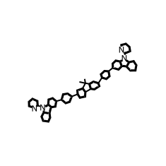 CC1(C)c2cc(-c3ccc(-c4ccc5c(c4)c4ccccc4n5-c4ccccn4)cc3)ccc2-c2ccc(-c3ccc(-c4ccc5c(c4)c4ccccc4n5-c4ccccn4)cc3)cc21